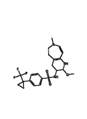 COC1NC2=C(CCN(C)C=C2)CC1NS(=O)(=O)c1ccc(C2(C(F)(F)F)CC2)cc1